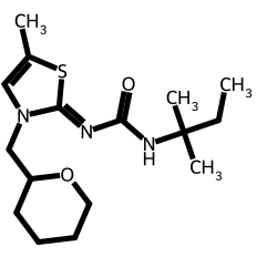 CCC(C)(C)NC(=O)/N=c1\sc(C)cn1CC1CCCCO1